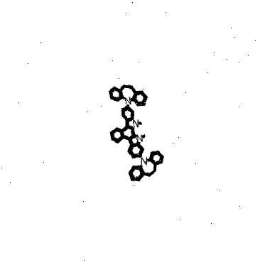 Cn1c2cc(N3c4ccccc4CCc4ccccc43)ccc2c2c3ccccc3c3c4ccc(N5c6ccccc6CCc6ccccc65)cc4n(C)c3c21